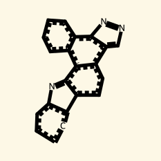 C1=c2c(c3ccccc3c3c4c(ccc23)-c2ccccc2N=4)N=N1